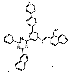 C=Cc1c(/C=C(\C)c2cc(-c3ccc(-c4ccncc4)cc3)cc(-c3nc(-c4ccccc4)nc(-c4ccc5ccccc5c4)n3)c2)ccc2ccccc12